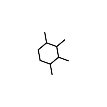 C[C]1C(C)CCC(C)C1C